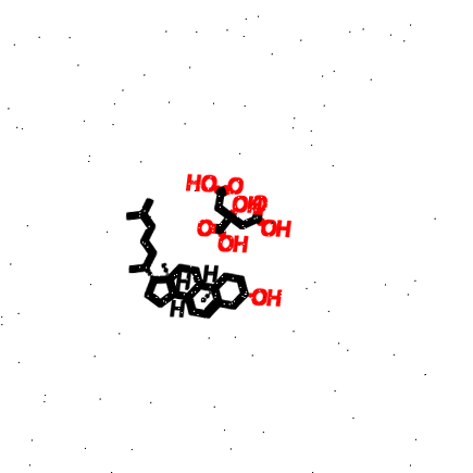 CC(C)CCCC(C)[C@H]1CC[C@H]2[C@@H]3CC=C4C[C@@H](O)CC[C@]4(C)[C@H]3CC[C@]12C.O=C(O)CC(O)(CC(=O)O)C(=O)O